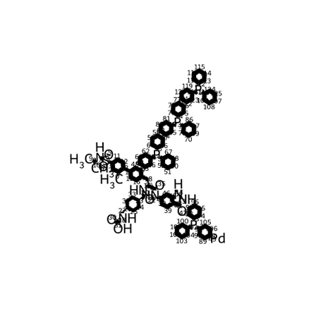 Cc1cc(S(=O)(=O)NC(C)C)ccc1-c1ccc(C[C@H](NC(=O)[C@H]2CC[C@H](CNC(=O)O)CC2)C(=O)Nc2ccc3c(=O)[nH][nH]c3c2)cc1.[Pd].c1ccc(P(c2ccccc2)c2ccccc2)cc1.c1ccc(P(c2ccccc2)c2ccccc2)cc1.c1ccc(P(c2ccccc2)c2ccccc2)cc1.c1ccc(P(c2ccccc2)c2ccccc2)cc1